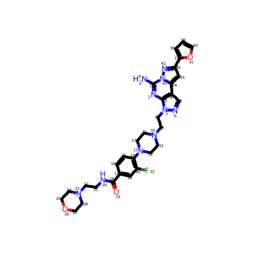 Nc1nc2c(cnn2CCN2CCN(c3ccc(C(=O)NCCN4CCOCC4)cc3F)CC2)c2cc(-c3ccco3)nn12